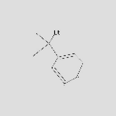 CCC(C)(C)C1=CC[CH][C]=C1